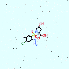 Cc1cc(S(=O)(=O)N2C[C@H](O)C[C@H]2C(=O)O)c(N)cc1Cl